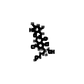 COCC[C@@H](C)[C@@H](CO)c1cc(Cl)c2c(c1Cl)C(=O)N(Cc1c(C)cc(C)[nH]c1=O)CC2